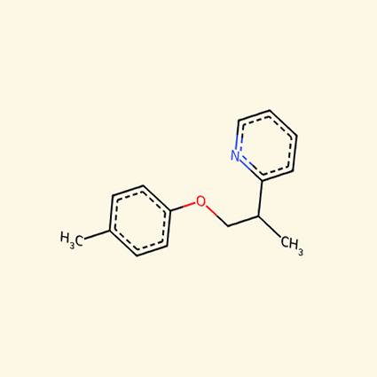 Cc1ccc(OCC(C)c2ccccn2)cc1